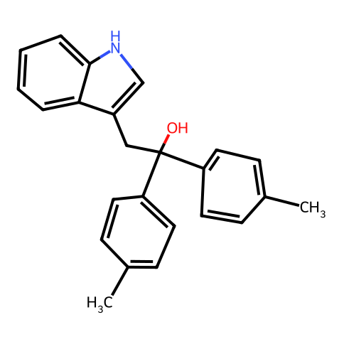 Cc1ccc(C(O)(Cc2c[nH]c3ccccc23)c2ccc(C)cc2)cc1